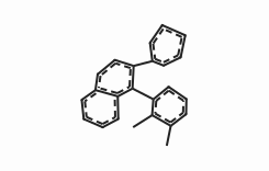 Cc1cccc(-c2c(-c3ccccc3)ccc3ccccc23)c1C